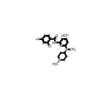 CN1CCC(N(C)c2cccc(NC(=O)c3ccc(F)cc3Cl)n2)CC1.Cl